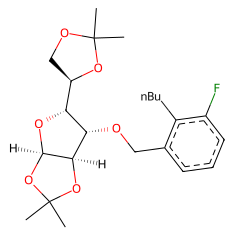 CCCCc1c(F)cccc1CO[C@@H]1[C@H]2OC(C)(C)O[C@H]2O[C@@H]1[C@H]1COC(C)(C)O1